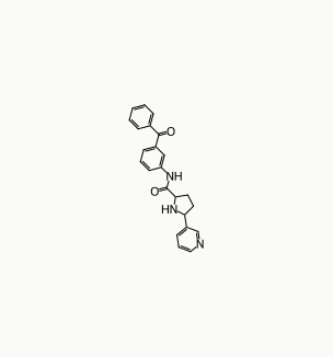 O=C(c1ccccc1)c1cccc(NC(=O)C2CCC(c3cccnc3)N2)c1